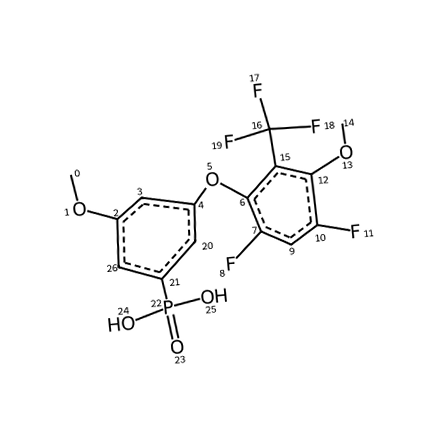 COc1cc(Oc2c(F)cc(F)c(OC)c2C(F)(F)F)cc(P(=O)(O)O)c1